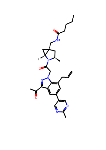 C=CCc1cc(-c2cnc(C)nc2)cc2c(C(C)=O)nn(CC(=O)N3[C@H](C)C[C@@]4(CNC(=O)CCCC)C[C@@H]34)c12